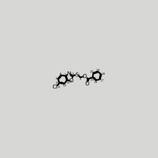 O=C(OCSc1nc2ccc(Cl)cc2o1)c1ccccc1